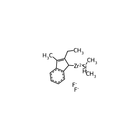 CCC1=C(C)c2ccccc2[CH]1[Zr+2][SiH](C)C.[F-].[F-]